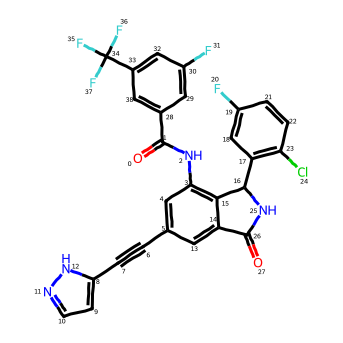 O=C(Nc1cc(C#Cc2ccn[nH]2)cc2c1C(c1cc(F)ccc1Cl)NC2=O)c1cc(F)cc(C(F)(F)F)c1